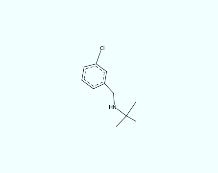 CC(C)(C)NCc1cc[c]c(Cl)c1